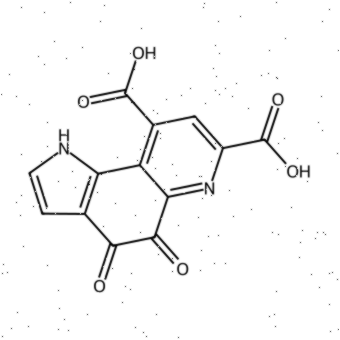 O=C(O)c1cc(C(=O)O)c2c(n1)C(=O)C(=O)c1cc[nH]c1-2